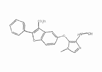 CCOC(=O)c1c(-c2ccccc2)oc2ccc(Oc3c(NO)ncn3C)cc12